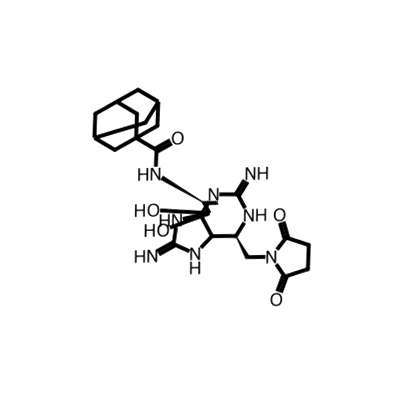 N=C1NC2[C@H](CN3C(=O)CCC3=O)NC(=N)N3C[C@H](NC(=O)C45CC6CC(CC(C6)C4)C5)C(O)(O)C23N1